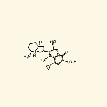 Cc1c(N2C[C@@H]3CCC[C@H](N)[C@H]3C2)c(F)cn2c(=O)c(C(=O)O)cc(C3CC3)c12.Cl